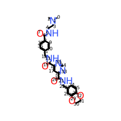 CN(C)CCNC(=O)c1ccc(CNC(=O)c2cc(C(=O)NCc3ccc4c(c3)OCCO4)ncn2)cc1